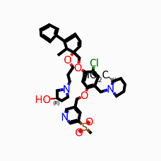 CC1C(c2ccccc2)=CC=CC1(COc1cc(OCc2cncc(S(C)(=O)=O)c2)c(CN2CCCC[C@H]2C(=O)O)cc1Cl)OCCCN1CC[C@@H](O)C1